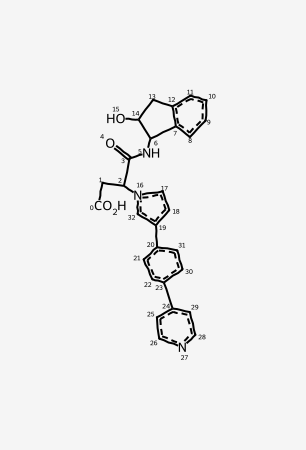 O=C(O)CC(C(=O)NC1c2ccccc2CC1O)n1ccc(-c2ccc(-c3ccncc3)cc2)c1